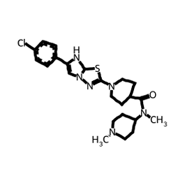 CN1CCC(N(C)C(=O)C2CCN(C3=NN4C=C(c5ccc(Cl)cc5)NC4S3)CC2)CC1